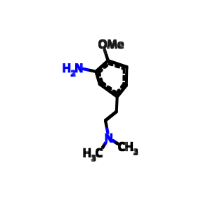 COc1ccc(CCN(C)C)cc1N